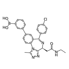 CCNC(=O)C[C@@H]1N=C(c2ccc(Cl)cc2)c2cc(-c3cccc(B(O)O)c3)ccc2-n2c(C)nnc21